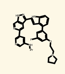 CC(C)Nc1cncc(-c2cc3c(-c4cc5c(-c6cc(F)cc(OCCN7CCCC7)c6)cccc5[nH]4)n[nH]c3cn2)c1